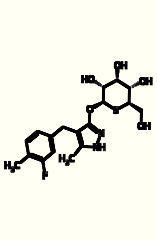 Cc1ccc(Cc2c(O[C@@H]3S[C@H](CO)[C@@H](O)[C@H](O)[C@H]3O)n[nH]c2C)cc1F